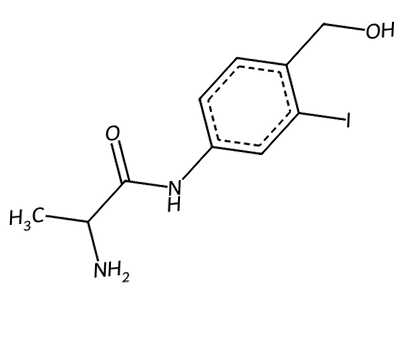 CC(N)C(=O)Nc1ccc(CO)c(I)c1